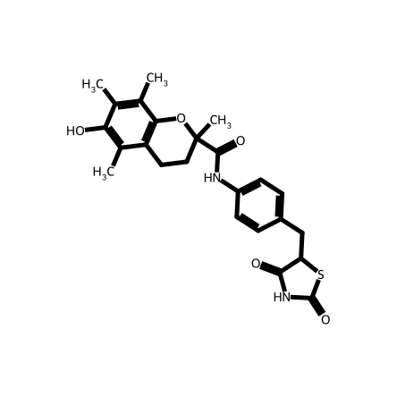 Cc1c(C)c2c(c(C)c1O)CCC(C)(C(=O)Nc1ccc(CC3SC(=O)NC3=O)cc1)O2